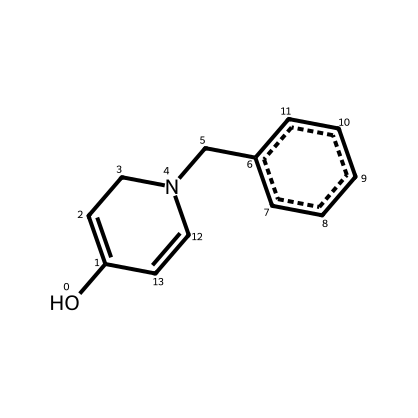 OC1=CCN(Cc2ccccc2)C=C1